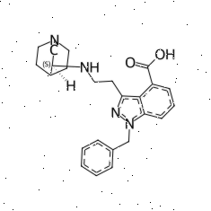 O=C(O)c1cccc2c1c(CCN[C@@H]1CN3CCC1CC3)nn2Cc1ccccc1